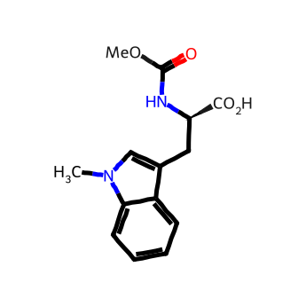 COC(=O)N[C@H](Cc1cn(C)c2ccccc12)C(=O)O